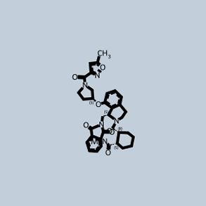 CNC(=O)[C@H]1CCCC[C@H]1C(=O)N1CCc2cccc(O[C@H]3CCN(C(=O)c4cc(C)on4)C3)c2[C@H]1CN1C(=O)c2ccccc2C1=O